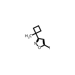 CC1(c2cc(I)on2)CCC1